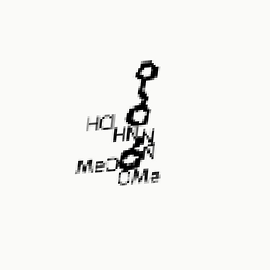 COc1cc2ncnc(Nc3ccc(/C=C/c4ccccc4)cc3)c2cc1OC.Cl